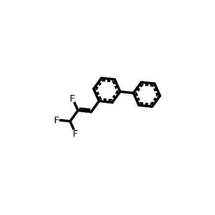 FC(=Cc1cccc(-c2ccccc2)c1)C(F)F